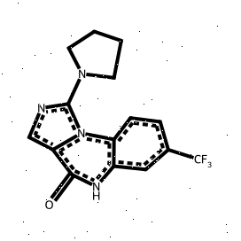 O=c1[nH]c2cc(C(F)(F)F)ccc2n2c(N3CCCC3)ncc12